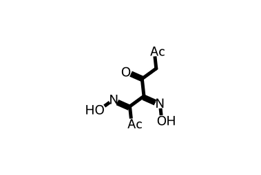 CC(=O)CC(=O)C(=NO)C(=NO)C(C)=O